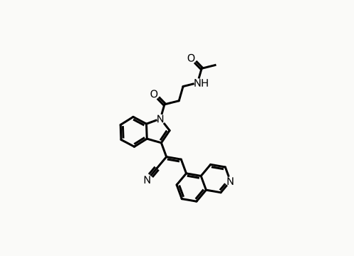 CC(=O)NCCC(=O)n1cc(/C(C#N)=C/c2cccc3cnccc23)c2ccccc21